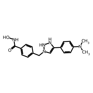 CN(C)c1ccc(C2=CN(Cc3ccc(C(=O)NO)cc3)NN2)cc1